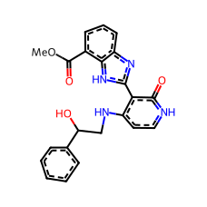 COC(=O)c1cccc2nc(-c3c(NCC(O)c4ccccc4)cc[nH]c3=O)[nH]c12